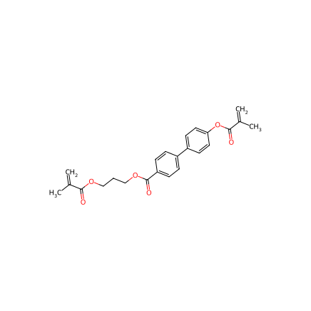 C=C(C)C(=O)OCCCOC(=O)c1ccc(-c2ccc(OC(=O)C(=C)C)cc2)cc1